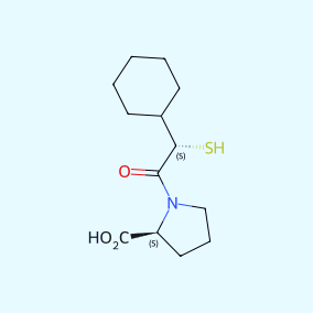 O=C(O)[C@@H]1CCCN1C(=O)[C@@H](S)C1CCCCC1